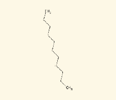 CCC[C]CCCCCCC